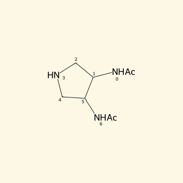 CC(=O)NC1CNCC1NC(C)=O